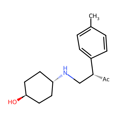 CC(=O)[C@H](CN[C@H]1CC[C@H](O)CC1)c1ccc(C)cc1